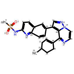 CCCS(=O)(=O)Nc1ccc2cc(-c3cnn4ccnc(C5=CCC(C#N)CC5)c34)ccc2n1